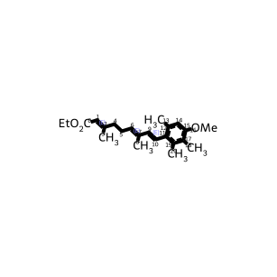 CCOC(=O)/C=C(\C)CC/C=C(C)/C=C/c1c(C)cc(OC)c(C)c1C